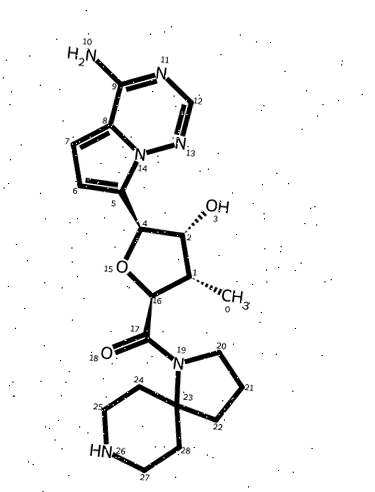 C[C@H]1[C@@H](O)[C@H](c2ccc3c(N)ncnn23)O[C@@H]1C(=O)N1CCCC12CCNCC2